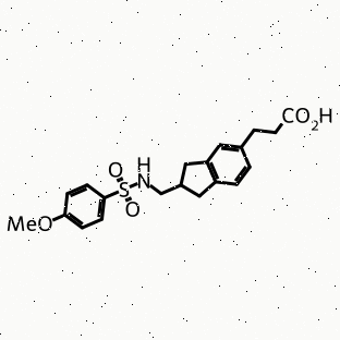 COc1ccc(S(=O)(=O)NCC2Cc3ccc(CCC(=O)O)cc3C2)cc1